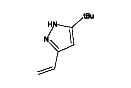 C=Cc1cc(C(C)(C)C)[nH]n1